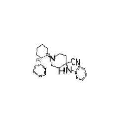 N#CC1(Nc2ccccc2)CCN([C@@H]2CCCC[C@H]2c2ccccc2)CC1